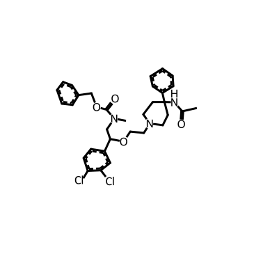 CC(=O)NC1(c2ccccc2)CCN(CCOC(CN(C)C(=O)OCc2ccccc2)c2ccc(Cl)c(Cl)c2)CC1